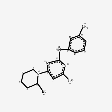 CCCc1cc(N2CCCCC2CC)nc(Nc2cccc(C(F)(F)F)c2)n1